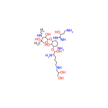 CN[C@@H]1C(O)[C@@H](OC2C(O)C(O[C@@H](O)C(N)CCCCNCC(O)CO)[C@@H](N)C[C@H]2NC(=N)C(O)CCN)OCC1(C)O